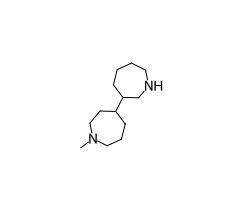 CN1CCCC(C2CCCCNC2)CC1